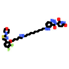 O=C1CCC(n2nnc3ccc(NCCCCCCCCCCNCCCCCOc4c(-c5csc(N6CCOCC6)n5)ccc(F)c4F)cc3c2=O)C(=O)N1